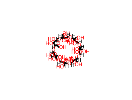 OCC1O[C@@H]2O[C@@H]3C(CO)O[C@H](O[C@@H]4C(CO)O[C@H](O[C@@H]5C(CO)O[C@H](O[C@@H]6C(CO)O[C@H](O[C@@H]7C(CO)O[C@H](O[C@@H]8C(CO)O[C@H](OC1[C@@H](O)C2O)C(O)C8O)C(O)C7O)C(O)C6O)C(O)C5O)C(O)C4O)C(O)C3O